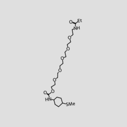 CCC(=O)NCCOCCOCCOCCOCCOCCOC(=O)NC1CCC(SC)CC1